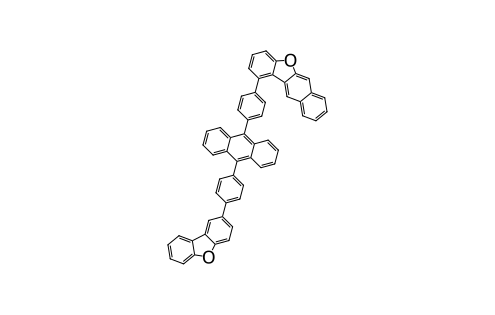 c1ccc2cc3c(cc2c1)oc1cccc(-c2ccc(-c4c5ccccc5c(-c5ccc(-c6ccc7oc8ccccc8c7c6)cc5)c5ccccc45)cc2)c13